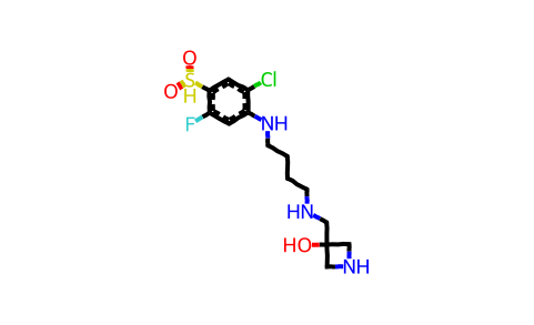 O=[SH](=O)c1cc(Cl)c(NCCCCNCC2(O)CNC2)cc1F